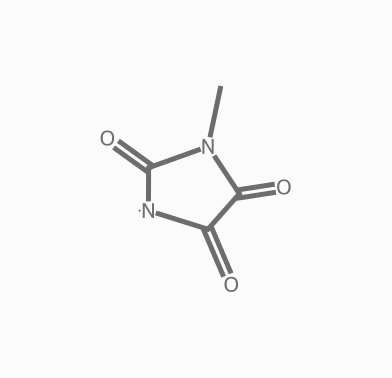 CN1C(=O)[N]C(=O)C1=O